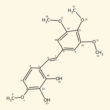 COc1ccc(C=Cc2cc(OC)c(OC)c(OC)c2)c(O)c1O